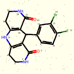 O=C1NCCC2=C1C(c1ccc(F)c(Br)c1)C1=C(CCNC1=O)N2